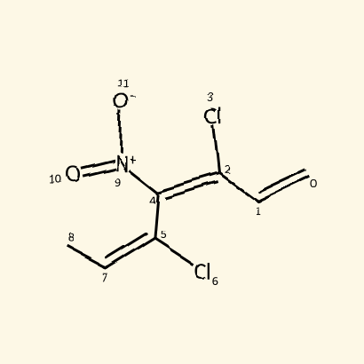 C=C/C(Cl)=C(\C(Cl)=C/C)[N+](=O)[O-]